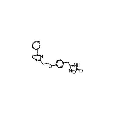 O=c1[nH]c(Cc2ccc(OCCc3coc(-c4ccccc4)n3)cc2)no1